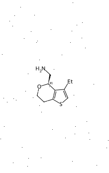 CCc1csc2c1[C@H](CN)OCC2